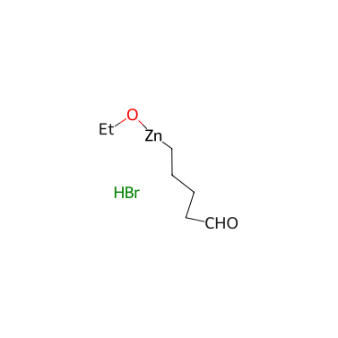 Br.CC[O][Zn][CH2]CCCC=O